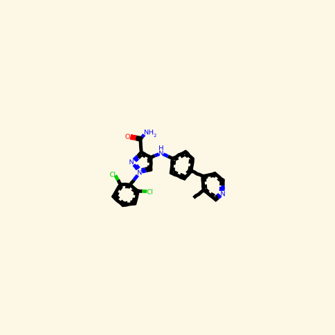 Cc1cnccc1-c1ccc(Nc2cn(-c3c(Cl)cccc3Cl)nc2C(N)=O)cc1